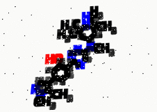 Cc1c(-c2ccc(-c3ncc(N(C)C4CC(C)(C)NC(C)(C)C4)nn3)c(O)c2)cnn1C